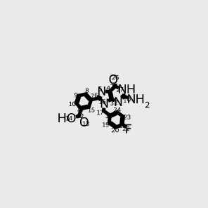 Nc1nc2c(nc(-c3cccc(C(=O)O)c3)n2Cc2ccc(F)cc2)c(=O)[nH]1